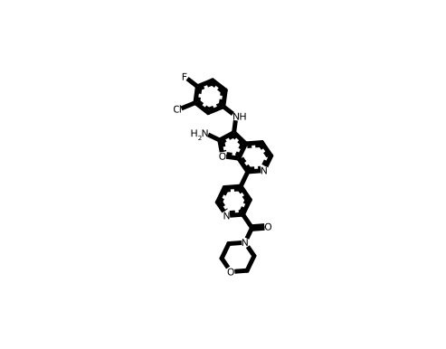 Nc1oc2c(-c3ccnc(C(=O)N4CCOCC4)c3)nccc2c1Nc1ccc(F)c(Cl)c1